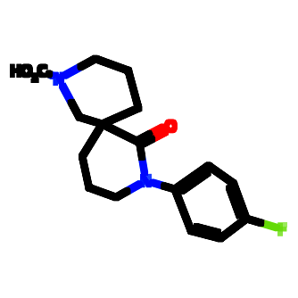 O=C(O)N1CCCC2(CCCN(c3ccc(F)cc3)C2=O)C1